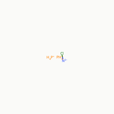 [N-2]Cl.[PH4+].[PH4+]